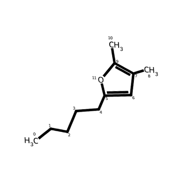 CCCCCc1cc(C)c(C)o1